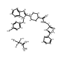 O=C(NCc1noc(-c2ccccc2)n1)C1CCN(c2nc3ccccc3n2Cc2ccc(F)cc2)CC1.O=C(O)C(F)(F)F